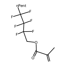 C=C(C)C(=O)OCC(F)(F)C(F)(F)C(F)(F)CCCCC